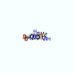 COc1c(OC2CCNCC2)ccnc1Nc1ccc(CCS(C)(=O)=O)nc1C